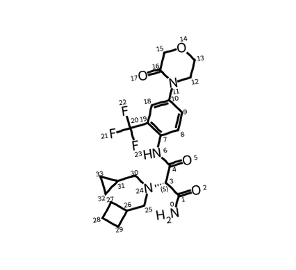 NC(=O)[C@@H](C(=O)Nc1ccc(N2CCOCC2=O)cc1C(F)(F)F)N(CC1CCC1)CC1CC1